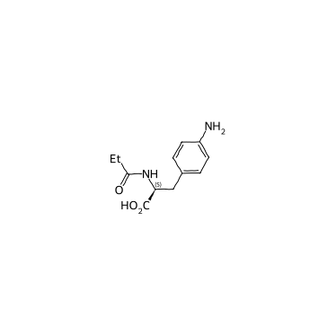 CCC(=O)N[C@@H](Cc1ccc(N)cc1)C(=O)O